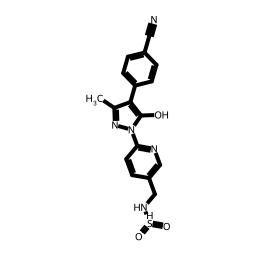 Cc1nn(-c2ccc(CN[SH](=O)=O)cn2)c(O)c1-c1ccc(C#N)cc1